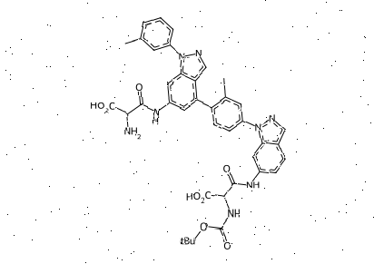 Cc1cccc(-n2ncc3c(-c4ccc(-n5ncc6ccc(NC(=O)C(NC(=O)OC(C)(C)C)C(=O)O)cc65)cc4C)cc(NC(=O)C(N)C(=O)O)cc32)c1